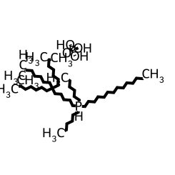 CCCCCCCCCCCCCC[PH](CCCCCC)(CCCCCC)CCCCCC(CCCCCC(C)C)(CCCCCC(C)C)CCCCCC(C)C.O=P(O)(O)O